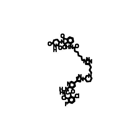 C[C@@H](Oc1cc(-c2cnn(C3CCCN(CCCc4cn(CCCCCC(=O)Nc5cccc6c5C(=O)N(C5CCC(=O)NC5=O)C6=O)nn4)C3)c2)cnc1N)c1c(Cl)ccc(F)c1Cl